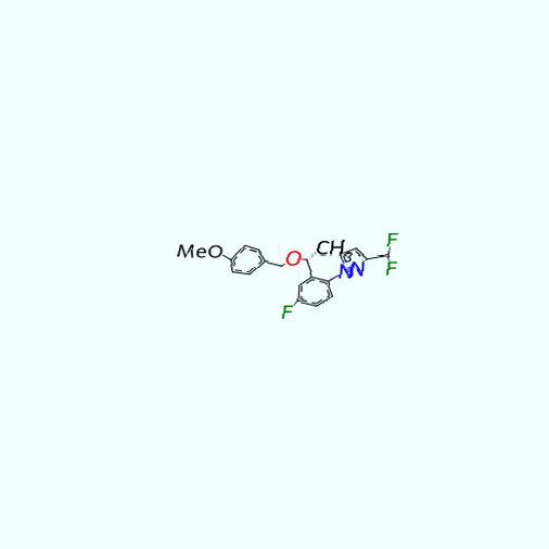 COc1ccc(CO[C@H](C)c2cc(F)ccc2-n2ccc(C(F)F)n2)cc1